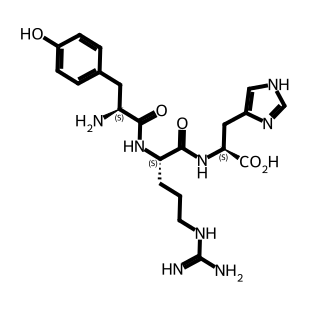 N=C(N)NCCC[C@H](NC(=O)[C@@H](N)Cc1ccc(O)cc1)C(=O)N[C@@H](Cc1c[nH]cn1)C(=O)O